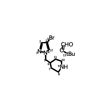 Brc1cnn(CC2CCNCC2)c1.CC(C)(C)OC=O